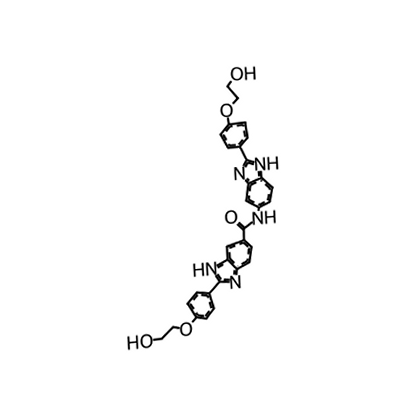 O=C(Nc1ccc2[nH]c(-c3ccc(OCCO)cc3)nc2c1)c1ccc2nc(-c3ccc(OCCO)cc3)[nH]c2c1